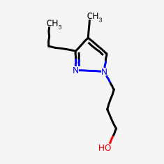 CCc1nn(CCCO)cc1C